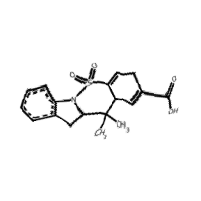 CC1(C)C2C=C(C(=O)O)CC=C2S(=O)(=O)N2c3ccccc3CC21